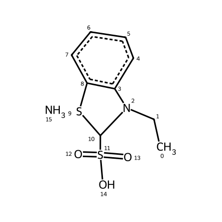 CCN1c2ccccc2SC1S(=O)(=O)O.N